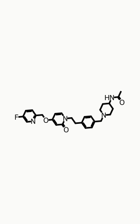 CC(=O)NC1CCN(Cc2ccc(CCn3ccc(OCc4ccc(F)cn4)cc3=O)cc2)CC1